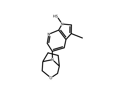 Cc1cn(S)c2ncc(N3C4CCC3COC4)cc12